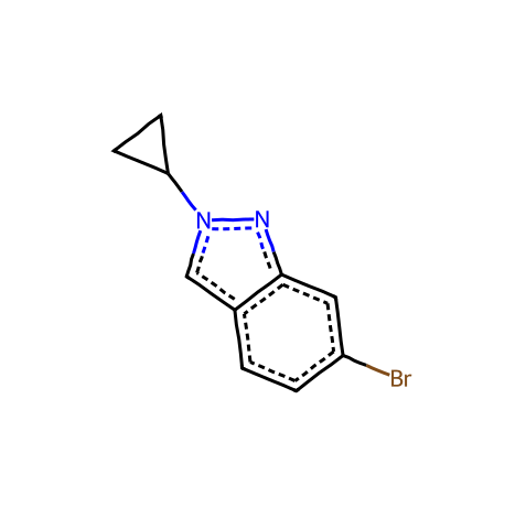 Brc1ccc2cn(C3CC3)nc2c1